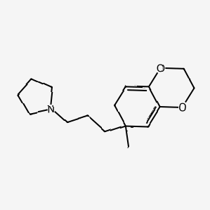 CC1(CCCN2CCCC2)C=C2OCCOC2=CC1